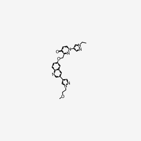 CCn1cc(-n2ccc(=O)c(COc3ccc4ncc(-c5cnn(CCOC)c5)cc4c3)n2)cn1